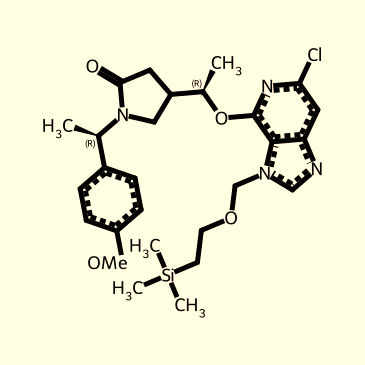 COc1ccc([C@@H](C)N2CC([C@@H](C)Oc3nc(Cl)cc4ncn(COCC[Si](C)(C)C)c34)CC2=O)cc1